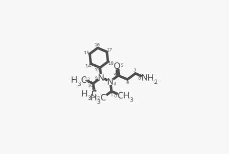 CC(C)N(C(=O)CCN)N(C(C)C)C1CCCCC1